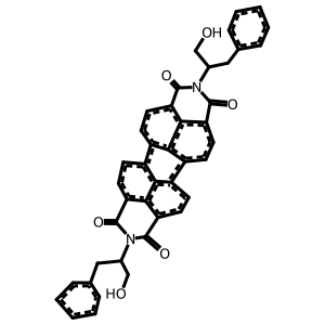 O=C1c2ccc3c4ccc5c6c(ccc(c7ccc(c2c37)C(=O)N1C(CO)Cc1ccccc1)c64)C(=O)N(C(CO)Cc1ccccc1)C5=O